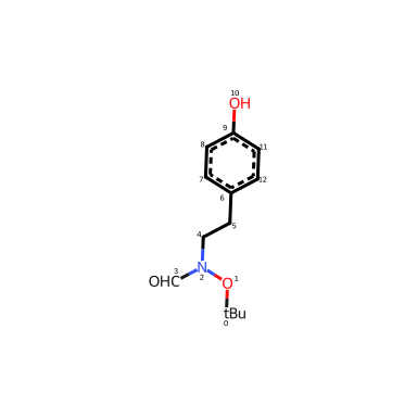 CC(C)(C)ON(C=O)CCc1ccc(O)cc1